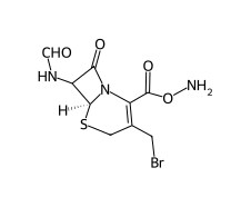 NOC(=O)C1=C(CBr)CS[C@H]2C(NC=O)C(=O)N12